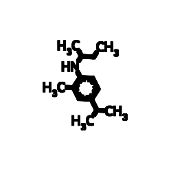 CCC(C)Nc1ccc(C(C)C)cc1C